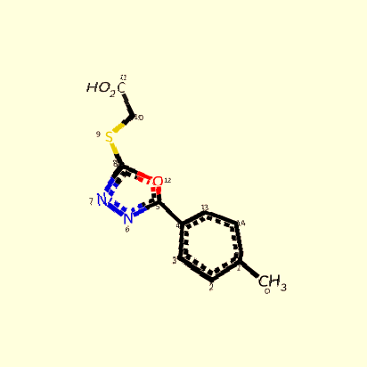 Cc1ccc(-c2nnc(SCC(=O)O)o2)cc1